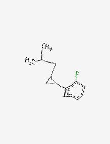 CC(C)CC1CC1c1ccccc1F